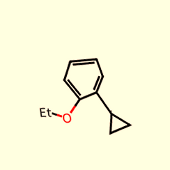 CCOc1ccccc1[C]1CC1